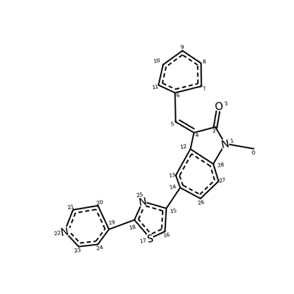 CN1C(=O)C(=Cc2ccccc2)c2cc(-c3csc(-c4ccncc4)n3)ccc21